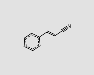 N#CC=Cc1cc[c]cc1